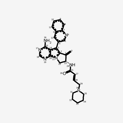 C=C1c2c(-c3cnc4ccccc4c3)c3c(N)ncnc3n2C[C@H]1NC(=O)C=CCN1CCCCC1